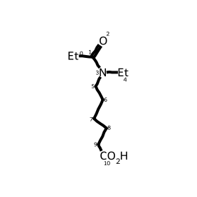 CCC(=O)N(CC)CCCCCC(=O)O